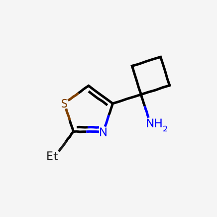 CCc1nc(C2(N)CCC2)cs1